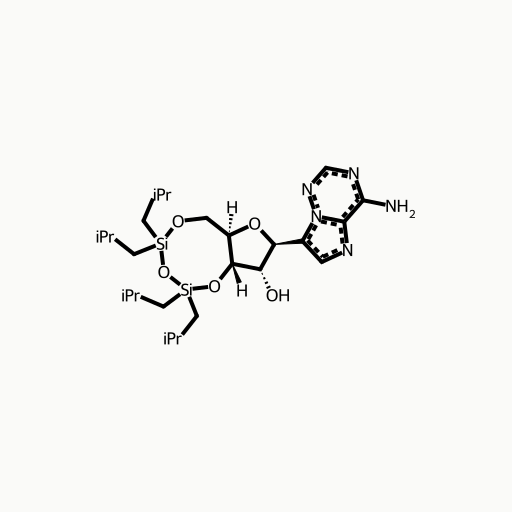 CC(C)C[Si]1(CC(C)C)OC[C@H]2O[C@@H](c3cnc4c(N)ncnn34)[C@H](O)[C@@H]2O[Si](CC(C)C)(CC(C)C)O1